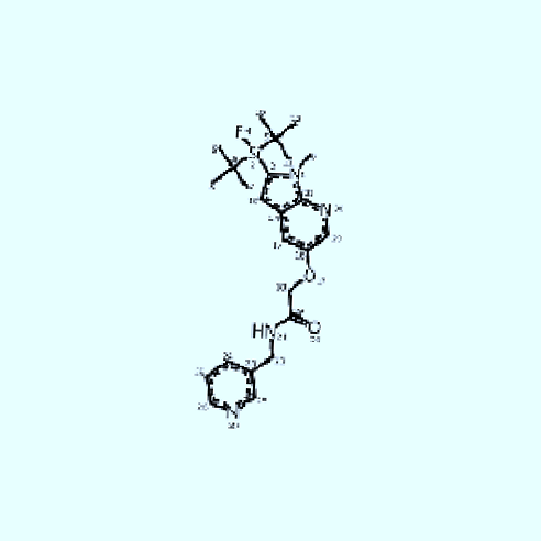 Cn1c([Si](F)(C(C)(C)C)C(C)(C)C)cc2cc(OCC(=O)NCc3cccnc3)cnc21